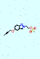 CC#CCOc1ccc2nn(CCOS(C)(=O)=O)cc2c1